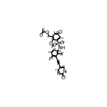 COc1c(COC(C)=O)cc(Cl)cc1S(=O)(=O)Nc1ccc(F)c(C#Cc2cnc(Cl)nc2)c1F